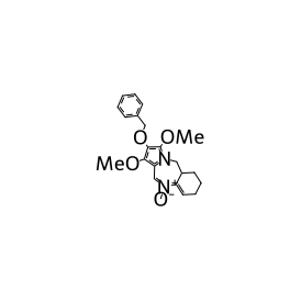 COc1c(OCc2ccccc2)c(OC)n2c1C=[N+]([O-])C1=CCCCC1C2